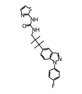 CC(C)(CNC(=O)Nc1nccs1)C(C)(C)c1ccc2c(cnn2-c2ccc(F)cc2)c1